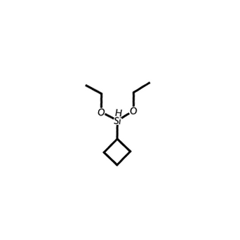 CCO[SiH](OCC)C1CCC1